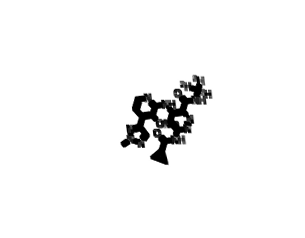 [2H]C([2H])([2H])NC(=O)c1nnc(NC(=O)C2CC2)cc1Nc1nccc(-c2cnn(C)n2)c1OC